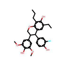 CCCc1c(O)c(CC)cc2c1OCC(c1cc(OC)c(O)c(OC)c1)C2c1ccc(O)c(F)c1